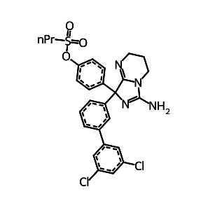 CCCS(=O)(=O)Oc1ccc(C2(c3cccc(-c4cc(Cl)cc(Cl)c4)c3)N=C(N)N3CCCN=C32)cc1